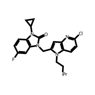 CC(C)CCn1c(Cn2c(=O)n(C3CC3)c3ccc(F)cc32)cc2nc(Cl)ccc21